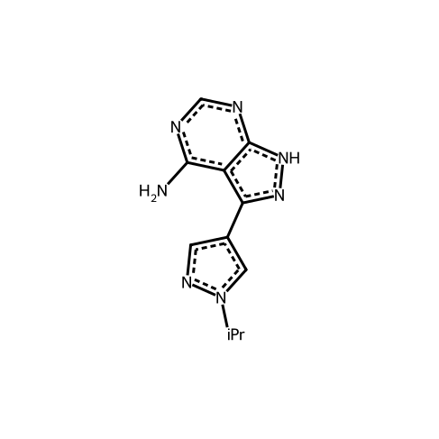 CC(C)n1cc(-c2n[nH]c3ncnc(N)c23)cn1